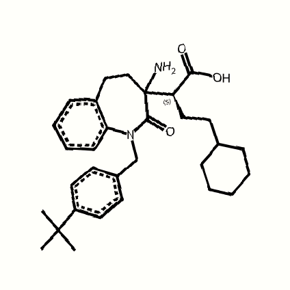 CC(C)(C)c1ccc(CN2C(=O)C(N)([C@H](CCC3CCCCC3)C(=O)O)CCc3ccccc32)cc1